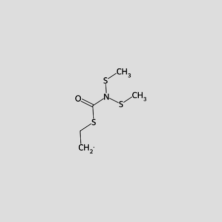 [CH2]CSC(=O)N(SC)SC